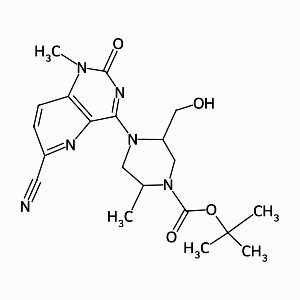 CC1CN(c2nc(=O)n(C)c3ccc(C#N)nc23)C(CO)CN1C(=O)OC(C)(C)C